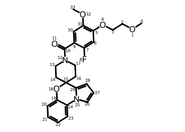 COCCOc1cc(F)c(C(=O)N2CCC3(CC2)Oc2ccccc2-n2cccc23)cc1OC